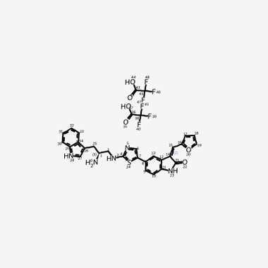 N[C@H](CNc1ncc(-c2ccc3c(c2)/C(=C/c2ccco2)C(=O)N3)s1)Cc1c[nH]c2ccccc12.O=C(O)C(F)(F)F.O=C(O)C(F)(F)F